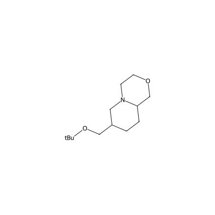 CC(C)(C)OCC1CCC2COCCN2C1